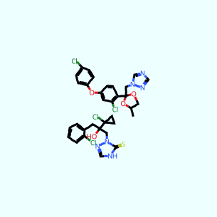 CC1COC(Cn2cncn2)(c2ccc(Oc3ccc(Cl)cc3)cc2Cl)O1.OC(Cc1ccccc1Cl)(Cn1nc[nH]c1=S)C1(Cl)CC1